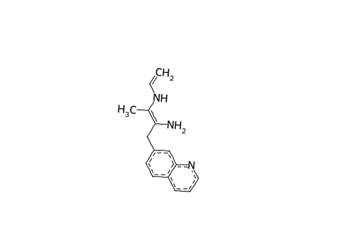 C=CN/C(C)=C(\N)Cc1ccc2cccnc2c1